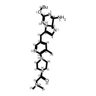 CCC(C)Oc1nc(N)c2ncc(Cc3cnc(N4CCN(C(=O)CN(C)C)CC4)c(C)c3)n2n1